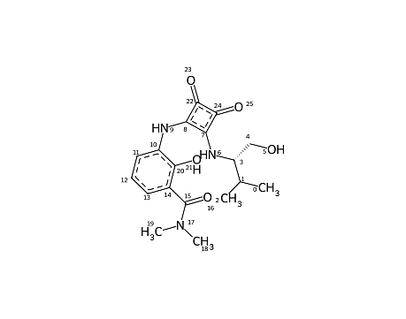 CC(C)[C@@H](CO)Nc1c(Nc2cccc(C(=O)N(C)C)c2O)c(=O)c1=O